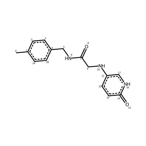 Cc1ccc(CNC(=O)CNc2ccc(=O)[nH]c2)cc1